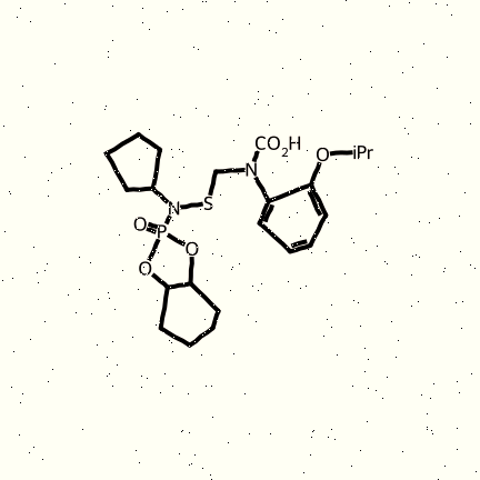 CC(C)Oc1ccccc1N(CSN(C1CCCC1)P1(=O)OC2CCCCC2O1)C(=O)O